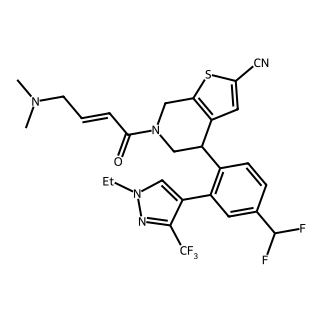 CCn1cc(-c2cc(C(F)F)ccc2C2CN(C(=O)/C=C/CN(C)C)Cc3sc(C#N)cc32)c(C(F)(F)F)n1